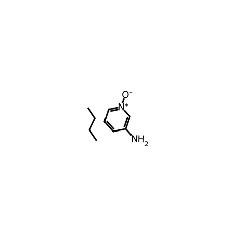 CCCC.Nc1ccc[n+]([O-])c1